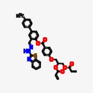 C=CC(=O)OCC(COc1ccc(C(=O)Oc2ccc(-c3ccc(CCC)cc3)cc2/C=N/Nc2nc3ccccc3s2)cc1)OC(=O)C=C